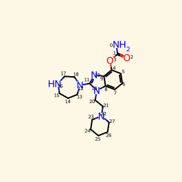 NC(=O)Oc1cccc2c1nc(N1CCCNCC1)n2CCN1CCCCC1